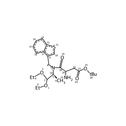 CCOC(OCC)[C@H](C)N(Cc1csc2ccccc12)C(=O)C(N)CC(=O)OC(C)(C)C